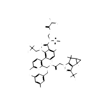 Cc1ccc(-c2ccc(Cl)c3c(N(COC(=O)[C@@H](C)N)S(C)(=O)=O)nn(CC(F)(F)F)c23)c([C@H](Cc2cc(F)cc(F)c2)NC(=O)Cn2nc(C(F)(F)F)c3c2C(F)(F)C2C[C@H]32)n1